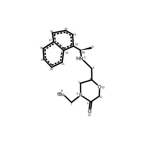 C[C@@H](NCC1CN(CC(C)(C)C)C(=O)CO1)c1cccc2ccccc12